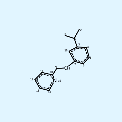 CC(C)c1cccc(OCc2ccccn2)c1